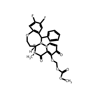 COC(=O)OCOc1c2n(ccc1=O)N1C(c3ccccc3)c3cc(F)c(F)cc3OCC[C@H]1N(C)C2=O